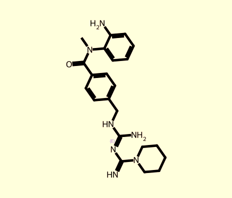 CN(C(=O)c1ccc(CN/C(N)=N/C(=N)N2CCCCC2)cc1)c1ccccc1N